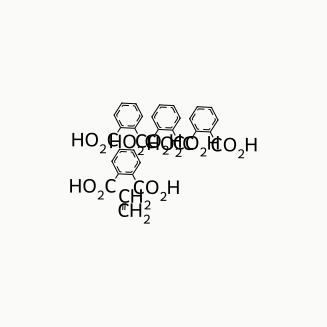 C=C.O=C(O)c1ccccc1C(=O)O.O=C(O)c1ccccc1C(=O)O.O=C(O)c1ccccc1C(=O)O.O=C(O)c1ccccc1C(=O)O